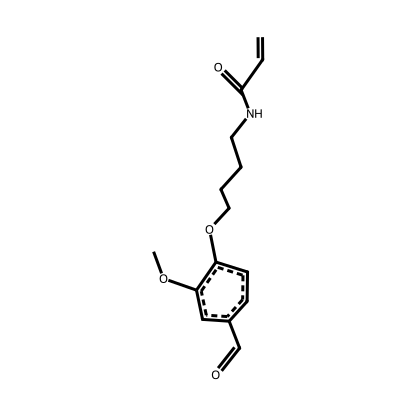 C=CC(=O)NCCCCOc1ccc(C=O)cc1OC